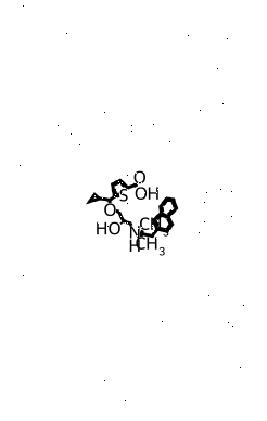 CC(C)(Cc1ccc2ccccc2c1)NC[C@@H](O)COC(c1ccc(C(=O)O)s1)C1CC1